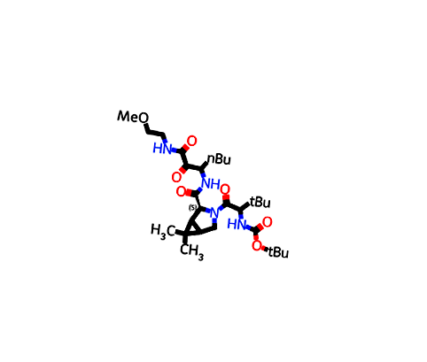 CCCCC(NC(=O)[C@@H]1C2C(CN1C(=O)C(NC(=O)OC(C)(C)C)C(C)(C)C)C2(C)C)C(=O)C(=O)NCCOC